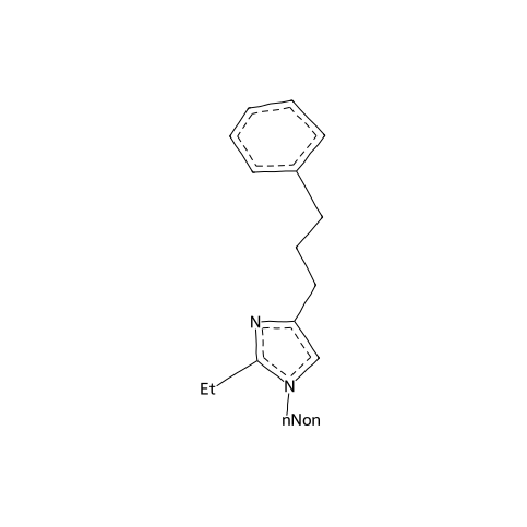 CCCCCCCCCn1cc(CCCc2ccccc2)nc1CC